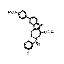 CCOC(=O)C1=CN(C(=O)c2cccc(F)c2)CCc2c1[nH]c1ccc(-c3ccc(OC)cc3)cc21